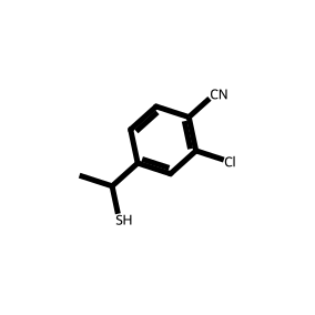 CC(S)c1ccc(C#N)c(Cl)c1